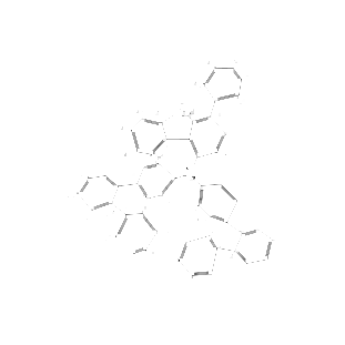 c1ccc(-c2ccccc2-c2ccc(N(c3ccc(-c4ccccc4-c4ccccc4)cc3)c3ccc(-c4ccccc4)c4sc5ccccc5c34)cc2)cc1